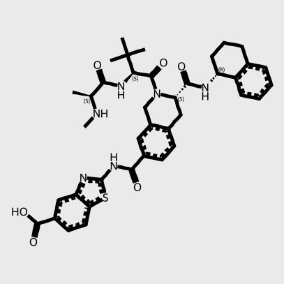 CN[C@@H](C)C(=O)N[C@H](C(=O)N1Cc2cc(C(=O)Nc3nc4cc(C(=O)O)ccc4s3)ccc2C[C@H]1C(=O)N[C@@H]1CCCc2ccccc21)C(C)(C)C